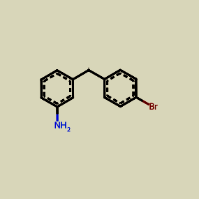 Nc1cccc([CH]c2ccc(Br)cc2)c1